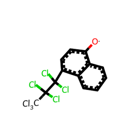 [O]c1ccc(C(Cl)(Cl)C(Cl)(Cl)C(Cl)(Cl)Cl)c2ccccc12